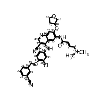 CN(C)CC=CC(=O)Nc1cc2c(Nc3ccc(OCc4cccc(C#N)c4)c(Cl)c3)c(C#N)cnc2cc1OC1CCOC1